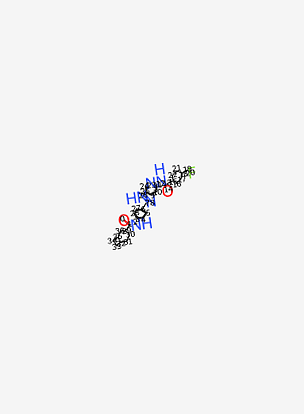 O=C(Nc1ccc(-c2nc3cc(NC(=O)C4CCC(CF)CC4)ncc3[nH]2)cc1)C1CCC2CCC2C1